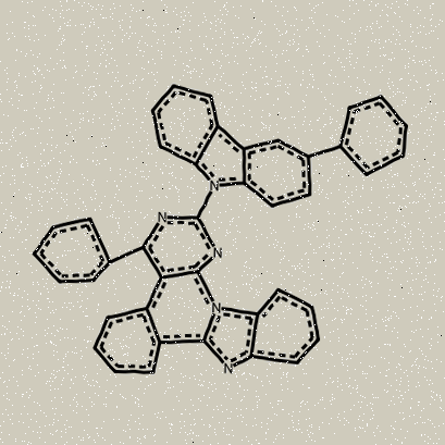 c1ccc(-c2ccc3c(c2)c2ccccc2n3-c2nc(-c3ccccc3)c3c4ccccc4c4nc5ccccc5n4c3n2)cc1